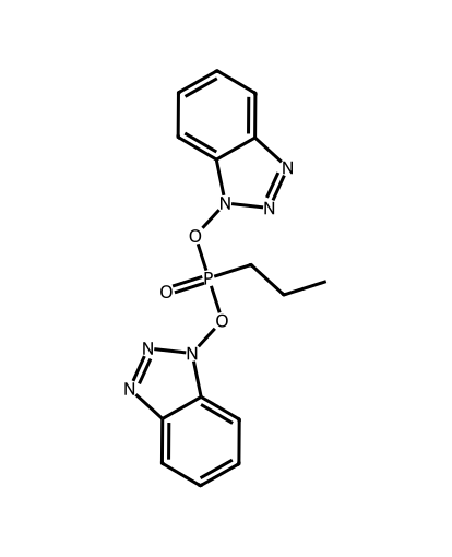 CCCP(=O)(On1nnc2ccccc21)On1nnc2ccccc21